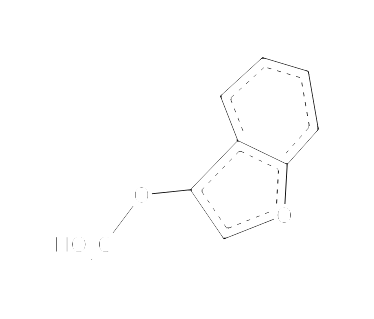 O=C(O)Oc1coc2ccccc12